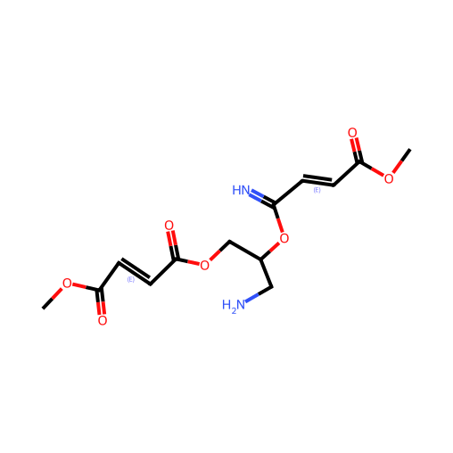 COC(=O)/C=C/C(=N)OC(CN)COC(=O)/C=C/C(=O)OC